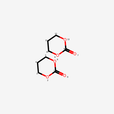 O=C1OCCCO1.O=C1OCCCO1